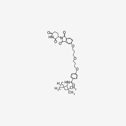 CC1(C)CC(C)(C)C1NC(=O)c1ccc(OCCCOCCCOc2ccc3c(c2)C(=O)N(C2CCC(=O)NC2=O)C3=O)cc1